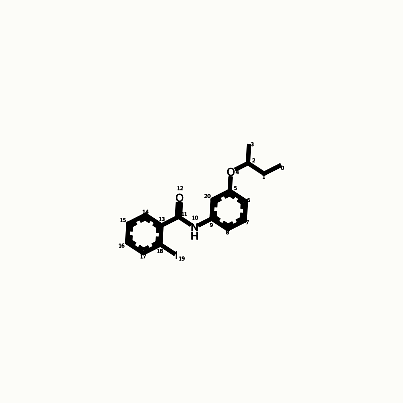 CCC(C)Oc1cccc(NC(=O)c2ccccc2I)c1